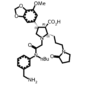 CCCCN(C(=O)CN1C[C@H](c2cc(OC)c3c(c2)OCO3)[C@@H](C(=O)O)[C@@H]1CCCN1CCCC1=O)c1cccc(CN)c1